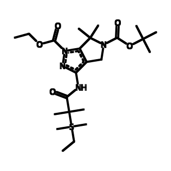 CCOC(=O)n1nc(NC(=O)C(C)(C)S(C)(C)CC)c2c1C(C)(C)N(C(=O)OC(C)(C)C)C2